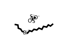 CCCCCCCCCCC[CH2][Bi+3][CH2]CCCC.[O-]P([O-])(=S)[S-]